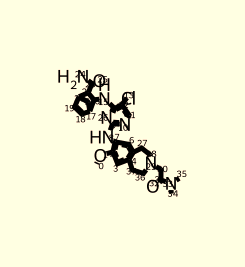 COc1cc2c(cc1Nc1ncc(Cl)c(NC3C4C=CC(C4)C3C(N)=O)n1)CCN(CC(=O)N(C)C)CC2